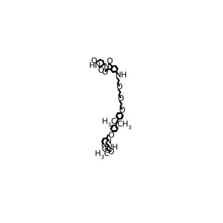 CC(C)(c1ccc(OCCCOCCCOCCCNc2ccc3c(c2)C(=O)N(C2CCC(=O)NC2=O)C3=O)cc1)c1ccc(OCc2ccnc(NS(C)(=O)=O)n2)cc1